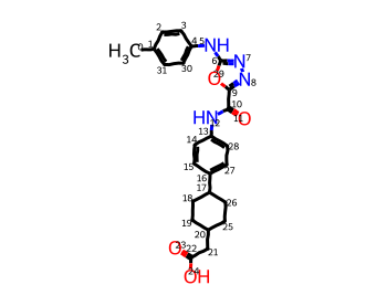 Cc1ccc(Nc2nnc(C(=O)Nc3ccc(C4CCC(CC(=O)O)CC4)cc3)o2)cc1